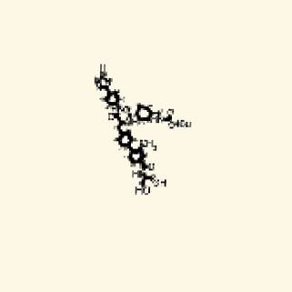 Cc1cc(C(=O)NC(CO)CO)ccc1-c1ccc(CC(NC(=O)[C@H]2CC[C@H](CNC(=O)OC(C)(C)C)CC2)C(=O)Nc2ccc(-c3nn[nH]n3)cc2)cc1